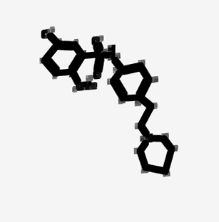 COc1ccc(Cl)cc1S(=O)(=O)Nc1ccc(CCN2CCCCC2)cc1